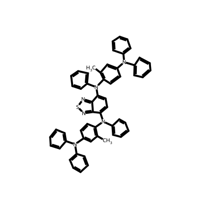 Cc1cc(N(c2ccccc2)c2ccccc2)ccc1N(c1ccccc1)c1ccc(N(c2ccccc2)c2ccc(N(c3ccccc3)c3ccccc3)cc2C)c2nsnc12